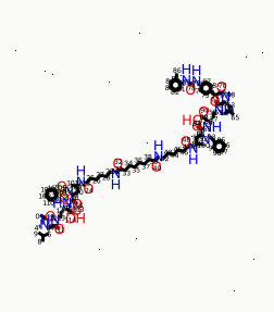 CC(=O)N(C)[C@@H](CC(C)C)C(=O)NCC[C@H](NC(=O)[C@@H]1C[C@@H](NC(=O)CCCCCNC(=O)CCCCCCC(=O)NCCCCCC(=O)N[C@@H]2C[C@@H](C(=O)N[C@@H](CCNC(=O)[C@H](CC(C)C)N(C)C(=O)Cc3ccc(NC(=O)Nc4ccccc4C)cc3)C(=O)O)N(Cc3ccccc3)C2)CN1S(=O)(=O)c1ccccc1)C(=O)O